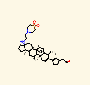 CC1C(C2=CC(CC=O)CC2)=CCC2(C)C1CCC1(C)C2CCC2[C@H]3CCCC3(NCCN3CCS(=O)(=O)CC3)CC[C@]21C